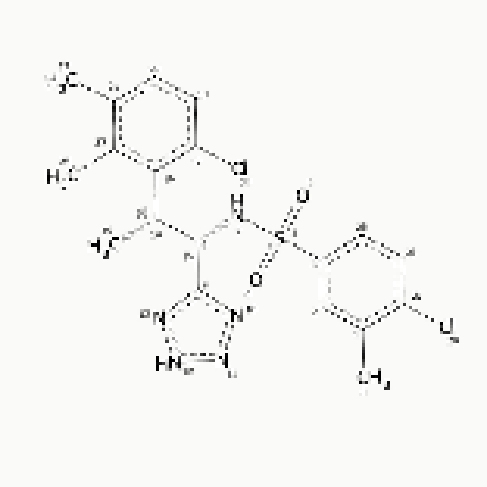 Cc1cc(S(=O)(=O)N[C@H](c2nn[nH]n2)[C@H](C)c2c(Cl)ccc(C)c2C)ccc1Cl